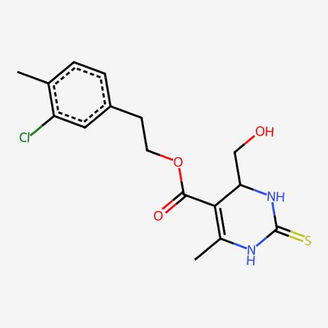 CC1=C(C(=O)OCCc2ccc(C)c(Cl)c2)C(CO)NC(=S)N1